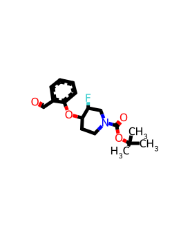 CC(C)(C)OC(=O)N1CCC(Oc2ccccc2C=O)C(F)C1